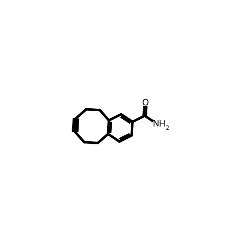 NC(=O)c1ccc2c(c1)CCC#CCC2